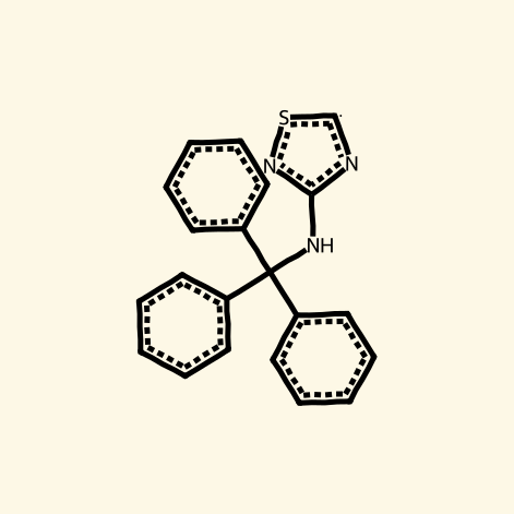 [c]1nc(NC(c2ccccc2)(c2ccccc2)c2ccccc2)ns1